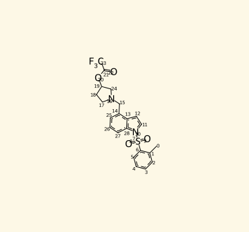 Cc1ccccc1S(=O)(=O)n1ccc2c(CN3CCC(OC(=O)C(F)(F)F)C3)cccc21